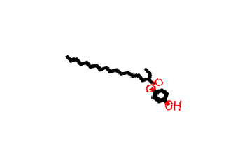 CCCCCCCCCCCCCCCCC(CC)C(=O)Oc1ccc(O)cc1